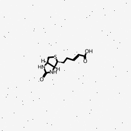 O=C(O)/C=C/CC[C@@H]1SC[C@@H]2NC(=O)N[C@@H]21